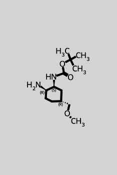 COC[C@@H]1CC[C@@H](N)[C@@H](NC(=O)OC(C)(C)C)C1